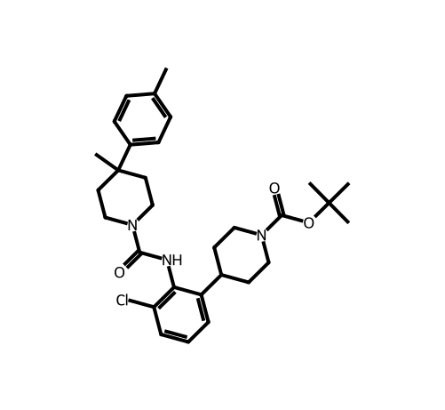 Cc1ccc(C2(C)CCN(C(=O)Nc3c(Cl)cccc3C3CCN(C(=O)OC(C)(C)C)CC3)CC2)cc1